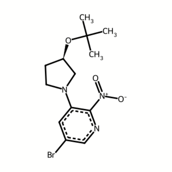 CC(C)(C)O[C@@H]1CCN(c2cc(Br)cnc2[N+](=O)[O-])C1